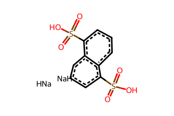 O=S(=O)(O)c1cccc2c(S(=O)(=O)O)cccc12.[NaH].[NaH]